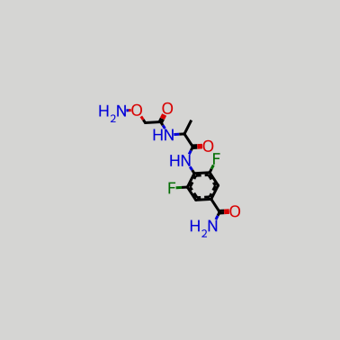 CC(NC(=O)CON)C(=O)Nc1c(F)cc(C(N)=O)cc1F